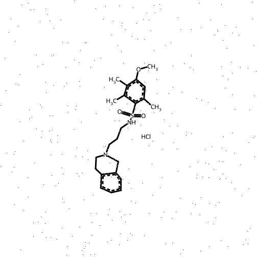 COc1cc(C)c(S(=O)(=O)NCCCN2CCc3ccccc3C2)c(C)c1C.Cl